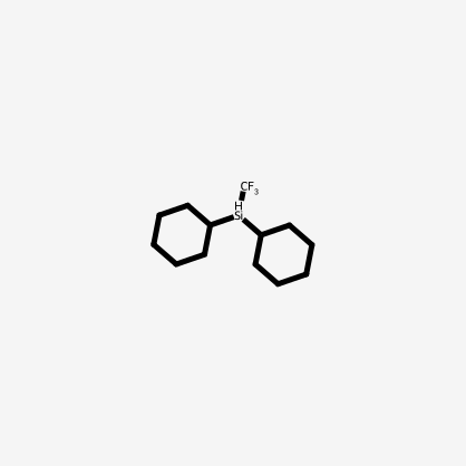 FC(F)(F)[SiH](C1CCCCC1)C1CCCCC1